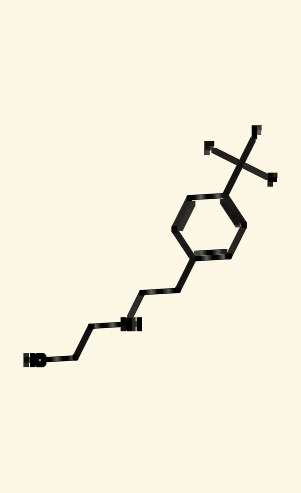 OCCNCCc1ccc(C(F)(F)F)cc1